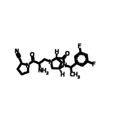 CC(c1cc(F)cc(F)c1)N1C(=O)[C@@H]2C[C@@H]1CN2CC(N)C(=O)N1CCCC1C#N